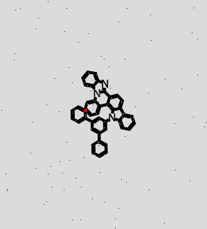 c1ccc(-c2cc(-c3ccccc3)cc(-n3c4ccccc4c4ccc5c(c6ccccc6n6c7ccccc7nc56)c43)c2)cc1